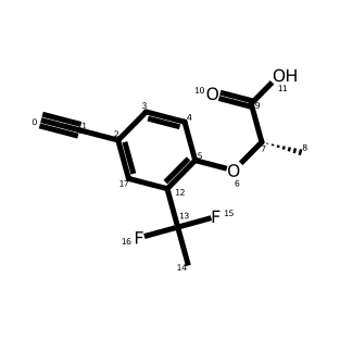 C#Cc1ccc(O[C@@H](C)C(=O)O)c(C(C)(F)F)c1